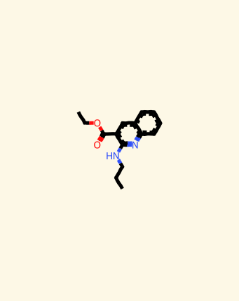 CCCNc1nc2ccccc2cc1C(=O)OCC